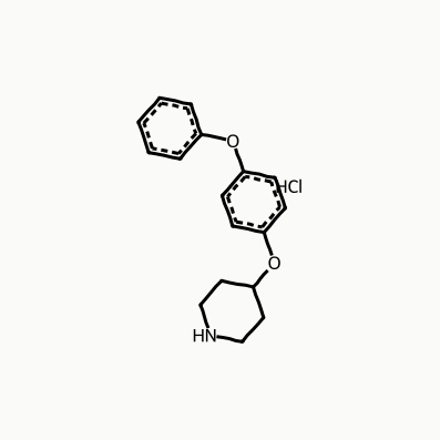 Cl.c1ccc(Oc2ccc(OC3CCNCC3)cc2)cc1